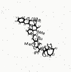 CCC(C)C(C(CC(=O)N1CCCC1C(OC)C(C)C(=O)NC(Cc1ccccc1)C(=O)OC)OC)N(C)C(=O)C(NC(=O)C1(C)CCCCN1)C(C)C